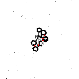 Clc1ccccc1C1N=C(c2ccccc2)C(c2ccccc2)(c2ccccc2)N1C1(c2ccccc2Cl)N=CC(c2ccccc2)=N1